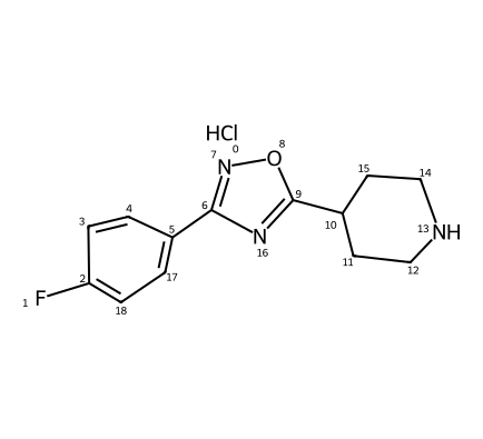 Cl.Fc1ccc(-c2noc(C3CCNCC3)n2)cc1